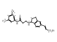 CCOC(=O)/C=C/c1ccc2c(c1)CCC2NCCC(=O)Nc1cc(C(F)(F)F)cc(C(F)(F)F)c1